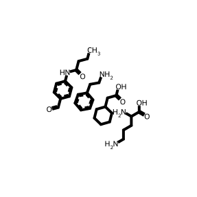 CCCC(=O)Nc1ccc(C=O)cc1.NCCCC(N)C(=O)O.NCCc1ccccc1.O=C(O)CC1CCCCC1